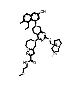 CCc1c(F)ccc2cc(O)cc(N3CCc4c(nc(OC[C@@]56CCCN5C[C@H](F)C6)nc4N4CCCn5nc(C(=O)NCCOC)cc5C4)C3)c12